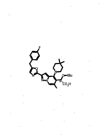 Cc1cn2nc(-c3ncc(Cc4ccc(F)cc4)o3)cc2c(N2CCC(C)(C)CC2)c1[C@H](OC(C)(C)C)C(=O)O